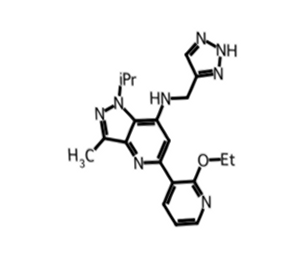 CCOc1ncccc1-c1cc(NCc2cn[nH]n2)c2c(n1)c(C)nn2C(C)C